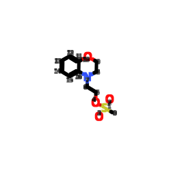 CS(=O)(=O)OCCN1CCOc2ccccc21